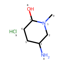 CN1CC(N)CCC1O.Cl